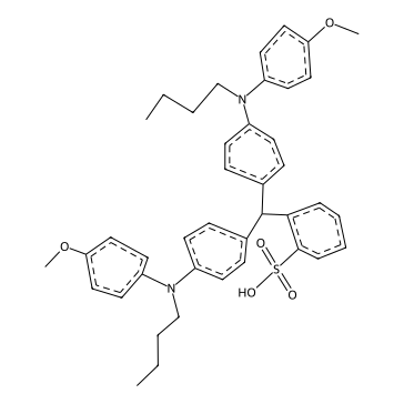 CCCCN(c1ccc(OC)cc1)c1ccc(C(c2ccc(N(CCCC)c3ccc(OC)cc3)cc2)c2ccccc2S(=O)(=O)O)cc1